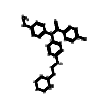 COc1ccc(N(C(=O)c2ccc(Cl)cc2)c2ccc(OCCC3CCCCN3)cc2)cc1